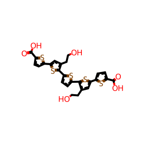 O=C(O)c1ccc(-c2cc(CCO)c(-c3ccc(-c4sc(-c5ccc(C(=O)O)s5)cc4CCO)s3)s2)s1